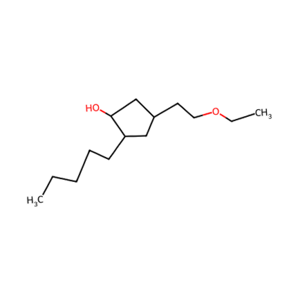 CCCCCC1CC(CCOCC)CC1O